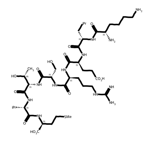 CSCC[C@H](NC(=O)[C@@H](NC(=O)[C@@H](NC(=O)[C@H](CO)NC(=O)[C@H](CCCNC(=N)N)NC(=O)[C@H](CCC(=O)O)NC(=O)[C@H](CC(C)C)NC(=O)[C@@H](N)CCCCN)[C@@H](C)O)C(C)C)C(=O)O